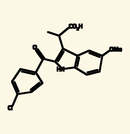 COc1ccc2[nH]c(C(=O)c3ccc(Cl)cc3)c(C(C)C(=O)O)c2c1